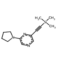 C[Si](C)(C)C#Cc1cncc(N2CCCC2)n1